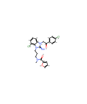 CN(CCCn1c(=N)n(CC(=O)c2ccc(Cl)cc2)c2cccc(Cl)c21)C(=O)c1ccco1